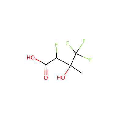 CC(O)(C(F)C(=O)O)C(F)(F)F